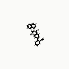 C#Cc1ccccc1-c1ccc2c(=O)n(-c3cccc4ccccc34)c(=O)[nH]c2c1